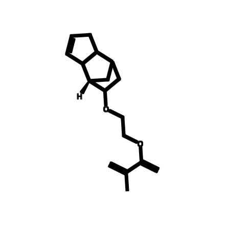 C=C(C)C(=C)OCCOC1CC2C[C@H]1C1C=CCC21